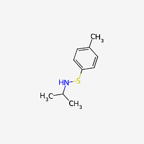 Cc1ccc(SNC(C)C)cc1